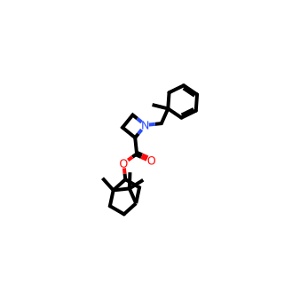 CC1(CN2CCC2C(=O)OC2CC3CCC2(C)C3(C)C)C=CC=CC1